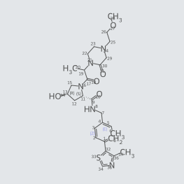 C=C(/C=C\C(=C/C)CNC(=O)[C@@H]1C[C@@H](O)CN1C(=O)C(C)N1CCN(CCOC)CC1=O)c1scnc1C